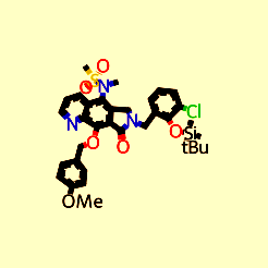 COc1ccc(COc2c3c(c(N(C)S(C)(=O)=O)c4cccnc24)CN(Cc2cccc(Cl)c2O[Si](C)(C)C(C)(C)C)C3=O)cc1